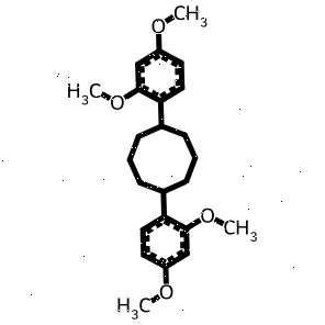 COc1ccc(C2CCCC(c3ccc(OC)cc3OC)CCC2)c(OC)c1